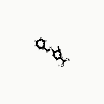 Cc1cc(C(=O)O)ccc1N=Cc1ccccc1